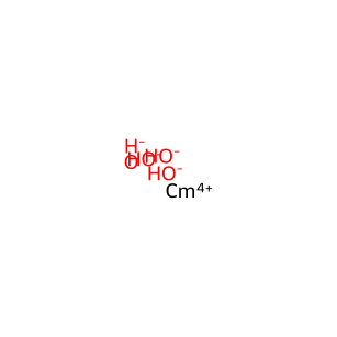 [Cm+4].[OH-].[OH-].[OH-].[OH-]